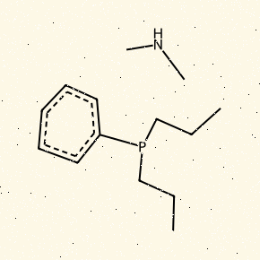 CCCP(CCC)c1ccccc1.CNC